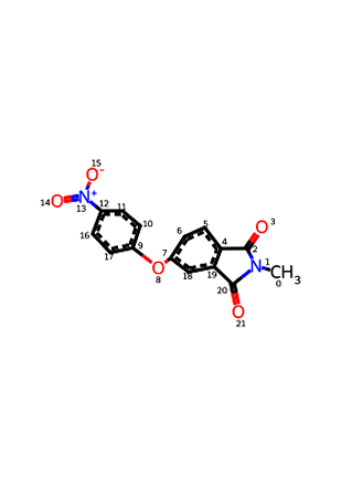 CN1C(=O)c2ccc(Oc3ccc([N+](=O)[O-])cc3)cc2C1=O